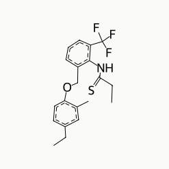 CCC(=S)Nc1c(COc2ccc(CC)cc2C)cccc1C(F)(F)F